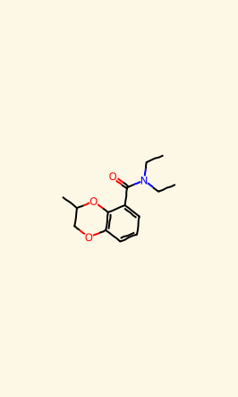 CCN(CC)C(=O)c1cccc2c1OC(C)CO2